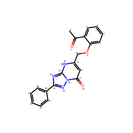 CC(=O)c1ccccc1OCc1cc(=O)n2nc(-c3ccccc3)nc2[nH]1